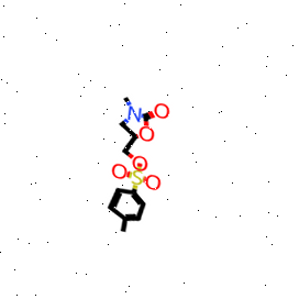 Cc1ccc(S(=O)(=O)OCC2CN(C)C(=O)O2)cc1